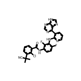 CC(C)(C#N)c1cccc(C(=O)Nc2ccc(F)c(Nc3ncccc3-c3ncnc4[nH]cnc34)c2F)c1Cl